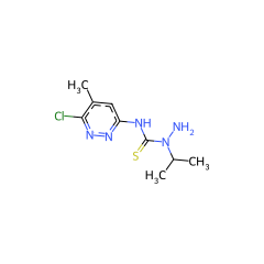 Cc1cc(NC(=S)N(N)C(C)C)nnc1Cl